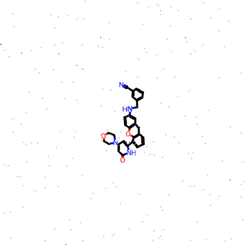 N#Cc1cccc(CNc2ccc3c(c2)Cc2cccc(-c4cc(N5CCOCC5)cc(=O)[nH]4)c2O3)c1